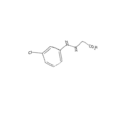 O=C(O)CNNc1cccc(Cl)c1